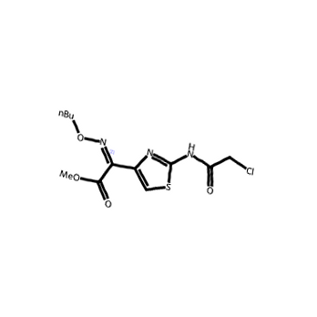 CCCCO/N=C(\C(=O)OC)c1csc(NC(=O)CCl)n1